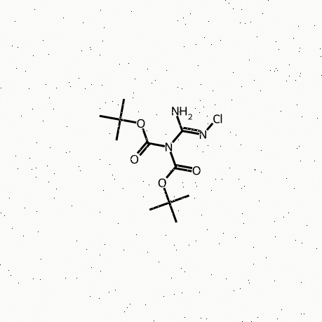 CC(C)(C)OC(=O)N(C(=O)OC(C)(C)C)C(N)=NCl